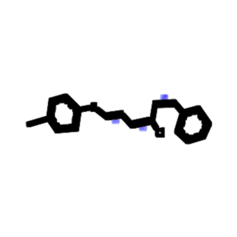 Cc1ccc(S/C=C/C=C(Cl)\C=C/c2ccccc2)cc1